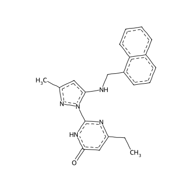 CCc1cc(=O)[nH]c(-n2nc(C)cc2NCc2cccc3ccccc23)n1